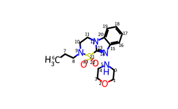 C1COCCN1.CCCN1CCn2c(nc3ccccc32)S1(=O)=O